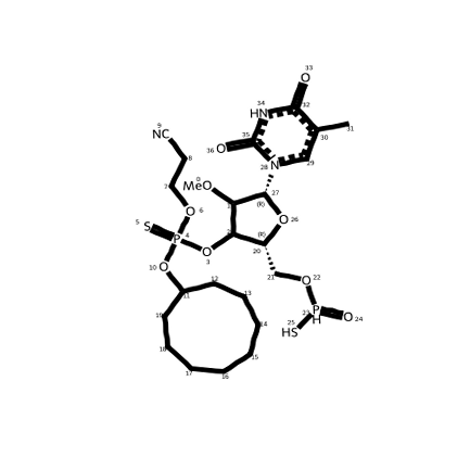 COC1C(OP(=S)(OCCC#N)OC2CCCCCCCC2)[C@@H](CO[PH](=O)S)O[C@H]1n1cc(C)c(=O)[nH]c1=O